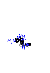 COc1cc2c(cc1NCCN1CCCC1)ncc1c(N)nc3c(C)c(N)ccc3c12